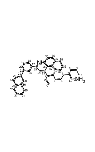 C=CC(=C\C=C/CC(/C=C\C)=C/N)/C(=C/C(=N)c1cccc(-c2ccc3ccccc3c2)c1)c1cccc2ccccc12